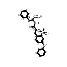 CS(=O)(=O)c1cc(Oc2ccccc2)ccc1CCC(=O)N[C@@H](Cc1ccccc1)C(=O)O